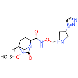 O=C(NOC[C@@H]1C[C@H](n2ccnn2)CN1)[C@@H]1CC[C@@H]2CN1C(=O)N2OS(=O)(=O)O